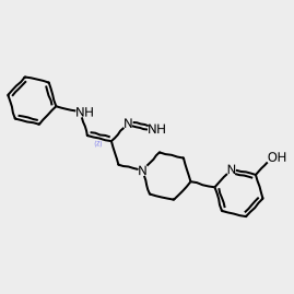 N=N/C(=C\Nc1ccccc1)CN1CCC(c2cccc(O)n2)CC1